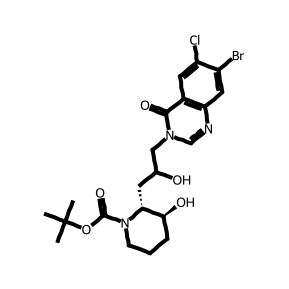 CC(C)(C)OC(=O)N1CCC[C@H](O)[C@H]1CC(O)Cn1cnc2cc(Br)c(Cl)cc2c1=O